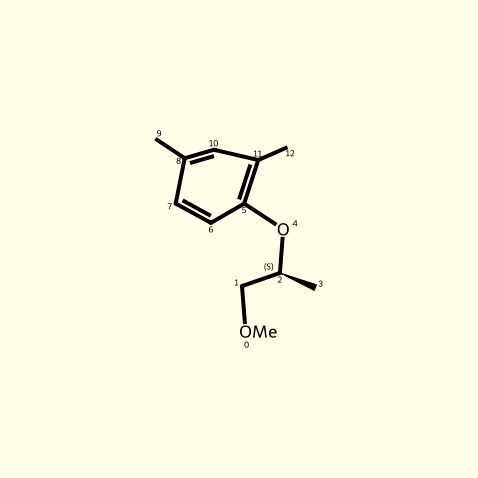 COC[C@H](C)Oc1ccc(C)cc1C